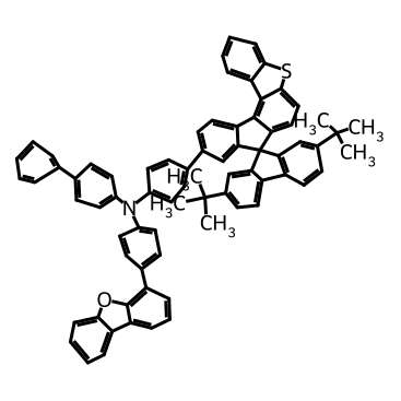 CC(C)(C)c1ccc2c(c1)C1(c3cc(C(C)(C)C)ccc3-2)c2cc(-c3ccc(N(c4ccc(-c5ccccc5)cc4)c4ccc(-c5cccc6c5oc5ccccc56)cc4)cc3)ccc2-c2c1ccc1sc3ccccc3c21